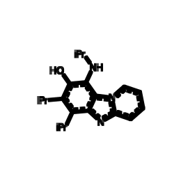 CC(C)Nc1c(O)c(C(C)C)c(C(C)C)c2nc3ccccn3c12